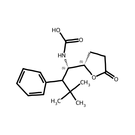 CC(C)(C)C(c1ccccc1)[C@H](NC(=O)O)[C@@H]1CCC(=O)O1